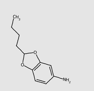 CCCCC1Oc2ccc(N)cc2O1